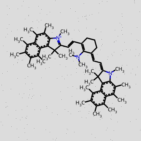 Cc1c(C)c(C)c2c3c(c(C)c(C)c2c1C)[N+](C)=C(/C=C/C1=C(N(C)C)C(=C/C=C2/N(C)c4c(C)c(C)c5c(C)c(C)c(C)c(C)c5c4C2(C)C)/CCC1)C3(C)C